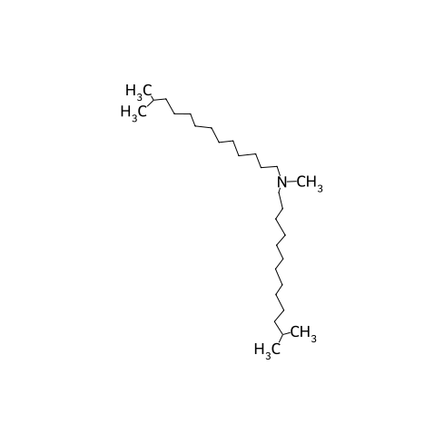 CC(C)CCCCCCCCCCCN(C)CCCCCCCCCCCC(C)C